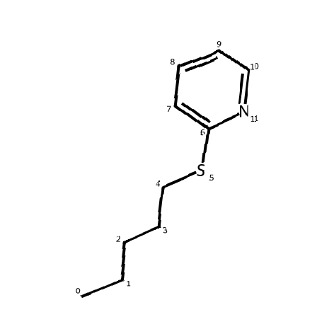 CCCCCSc1ccccn1